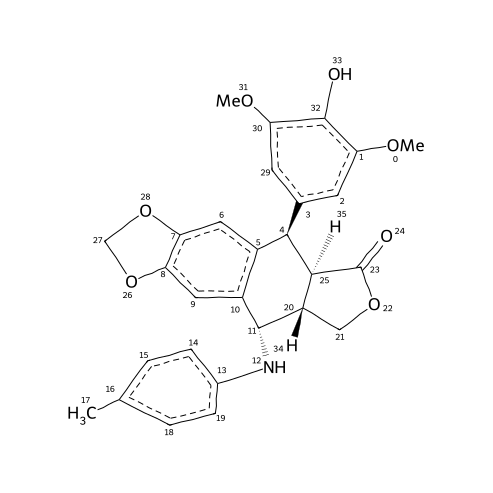 COc1cc([C@@H]2c3cc4c(cc3[C@@H](Nc3ccc(C)cc3)[C@H]3COC(=O)[C@H]23)OCO4)cc(OC)c1O